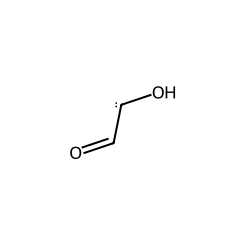 O=C[C]O